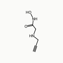 C#CCNCC(=O)NO